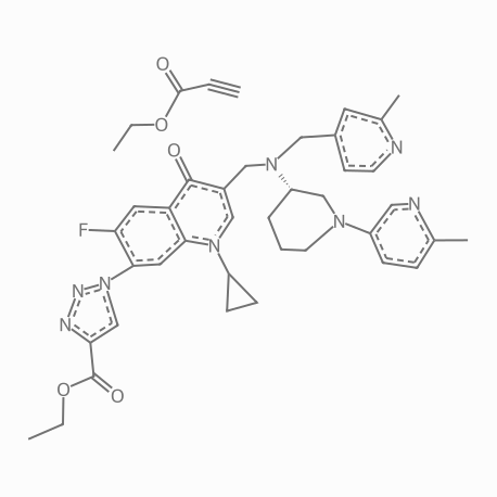 C#CC(=O)OCC.CCOC(=O)c1cn(-c2cc3c(cc2F)c(=O)c(CN(Cc2ccnc(C)c2)[C@H]2CCCN(c4ccc(C)nc4)C2)cn3C2CC2)nn1